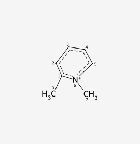 Cc1cccc[n+]1C